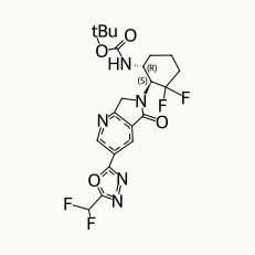 CC(C)(C)OC(=O)N[C@@H]1CCCC(F)(F)[C@H]1N1Cc2ncc(-c3nnc(C(F)F)o3)cc2C1=O